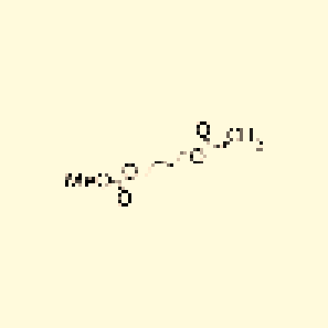 C=CC(=O)OCCCCOC(=O)OC